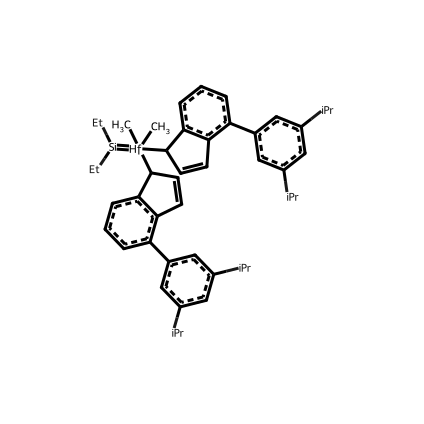 CC[Si](CC)=[Hf]([CH3])([CH3])([CH]1C=Cc2c(-c3cc(C(C)C)cc(C(C)C)c3)cccc21)[CH]1C=Cc2c(-c3cc(C(C)C)cc(C(C)C)c3)cccc21